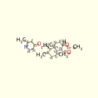 Cc1cc(OCC[C@@H]2C(C)CCC3[C@]4(C)CO[C@@H](C)O[C@@H]4CC[C@]32C)ccn1